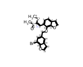 CS/C(=C\c1ccc2ccoc2c1OCc1cc(Br)c2occc2c1)[S+](C)[O-]